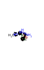 CN1CCN(c2ccc(Nc3nc(N)c(C(=O)c4c(F)cccc4F)s3)nc2)CC1